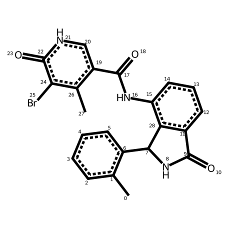 Cc1ccccc1C1NC(=O)c2cccc(NC(=O)c3c[nH]c(=O)c(Br)c3C)c21